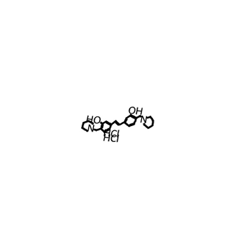 Cl.Cl.Oc1cc(C=Cc2ccc(CN3CCCCC3)c(O)c2)ccc1CN1CCCCC1